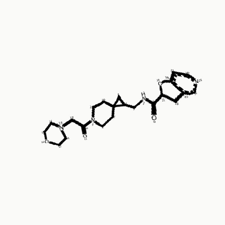 O=C(NCC1CC12CCN(C(=O)CN1CCOCC1)CC2)C1Cc2cnccc2O1